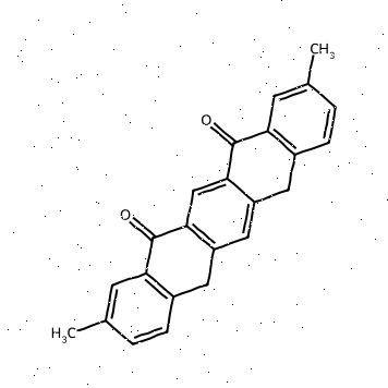 Cc1ccc2c(c1)C(=O)c1cc3c(cc1C2)Cc1ccc(C)cc1C3=O